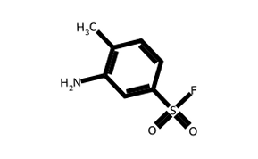 Cc1ccc(S(=O)(=O)F)cc1N